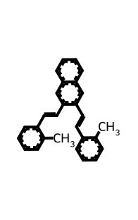 Cc1ccccc1C=Cc1cc2ccccc2cc1C=Cc1ccccc1C